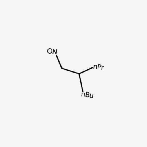 CCCCC(CCC)CN=O